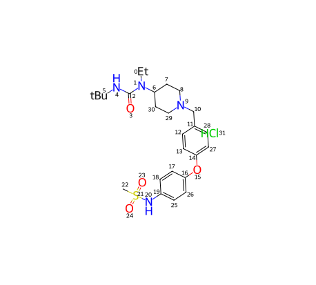 CCN(C(=O)NC(C)(C)C)C1CCN(Cc2ccc(Oc3ccc(NS(C)(=O)=O)cc3)cc2)CC1.Cl